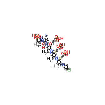 Cc1cc(N=Nc2cc(SCCCS(=O)(=O)O)c(N=Nc3cc(OCCCCS(=O)(=O)O)c(N=Nc4c(C)c(C#N)c5nc6c(S(=O)(=O)O)ccc(C)c6n5c4O)cc3C)cc2C)c(SCCCS(=O)(=O)O)cc1N=Nc1ccc(Cl)cc1